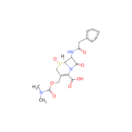 CN(C)C(=O)OCC1=C(C(=O)O)N2C(=O)C(NC(=O)Cc3ccccc3)[C@@H]2[S+]([O-])C1